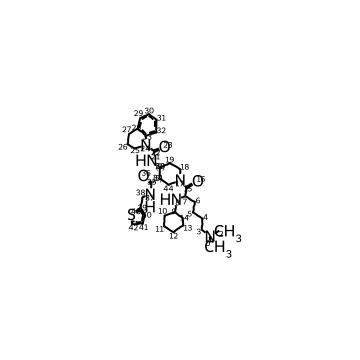 CN(C)CCCCC(NC1CCCCC1)C(=O)N1CC[C@@H](NC(=O)N2CCCc3ccccc32)[C@@H](C(=O)NCc2cccs2)C1